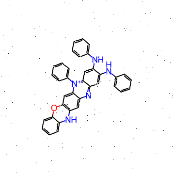 c1ccc(Nc2cc3nc4cc5c(cc4[n+](-c4ccccc4)c3cc2Nc2ccccc2)Oc2ccccc2N5)cc1